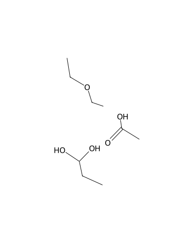 CC(=O)O.CCC(O)O.CCOCC